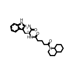 NC(=O)[C@H](Cc1c[nH]c2ccccc12)NC(=O)CCCC(=O)N1CCCC2CCCCC21